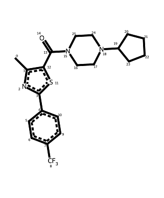 Cc1nc(-c2ccc(C(F)(F)F)cc2)sc1C(=O)N1CCN(C2CCCC2)CC1